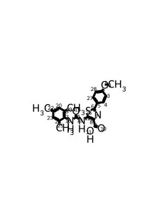 COc1ccc(-c2nc(C(=O)O)c(NC(=O)Nc3c(C)cc(C)cc3C)s2)cc1